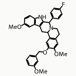 COc1cccc(COc2cc3c(cc2OC)CCN2C3Cc3c([nH]c4ccc(OC)cc34)C2c2ccc(F)cc2)c1